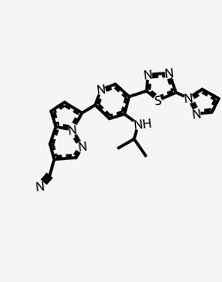 CC(C)Nc1cc(-c2ccc3cc(C#N)cnn23)ncc1-c1nnc(-n2cccn2)s1